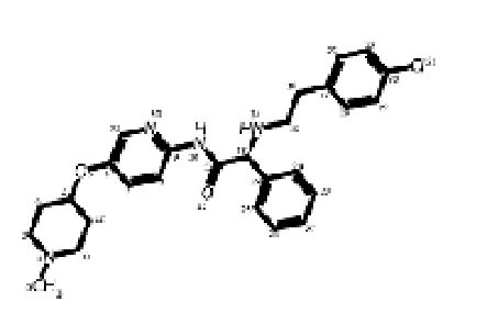 CN1CCC(Oc2ccc(NC(=O)[C@@H](NCCc3ccc(Cl)cc3)c3ccccc3)nc2)CC1